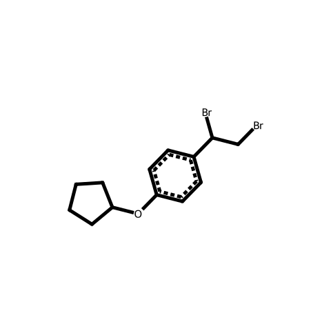 BrCC(Br)c1ccc(OC2CCCC2)cc1